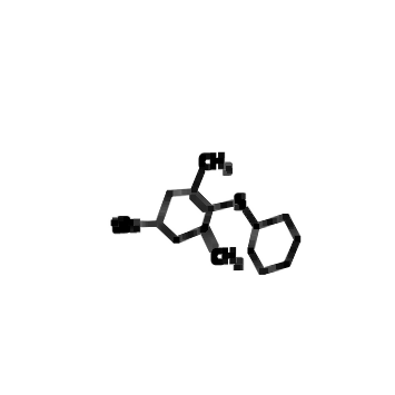 C=C1CC(C(C)(C)C)CC(C)=C1SC1CCCCC1